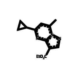 CCOC(=O)c1cnn2c(C)cc(C3CC3)nc12